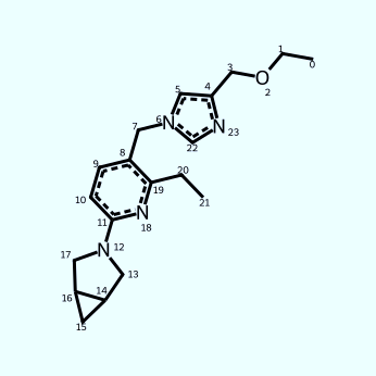 CCOCc1cn(Cc2ccc(N3CC4CC4C3)nc2CC)cn1